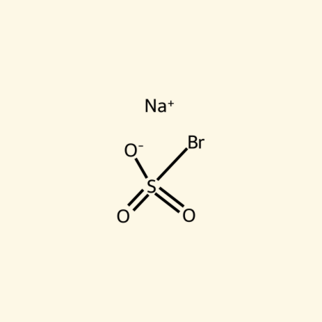 O=S(=O)([O-])Br.[Na+]